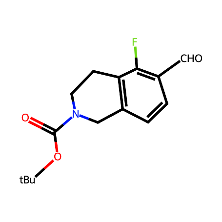 CC(C)(C)OC(=O)N1CCc2c(ccc(C=O)c2F)C1